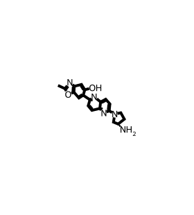 Cc1nc2cc(O)c(-c3ccc4nc(N5CC[C@@H](N)C5)ccc4n3)cc2o1